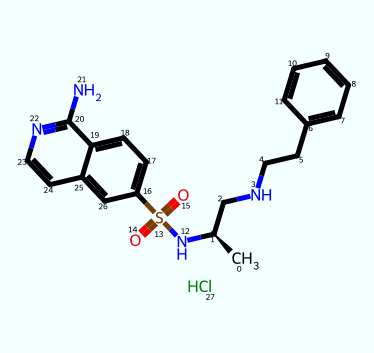 C[C@H](CNCCc1ccccc1)NS(=O)(=O)c1ccc2c(N)nccc2c1.Cl